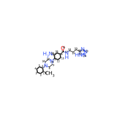 Cc1ccccc1N1CCN(c2ccc(C(=O)NCCCc3nnn[nH]3)cc2N)CC1